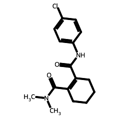 CN(C)C(=O)C1=C(C(=O)Nc2ccc(Cl)cc2)CCCC1